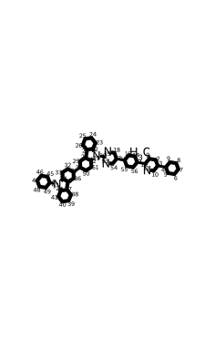 Cc1cc(-c2ccccc2)cnc1-c1ccc(-c2cnc(-n3c4ccccc4c4cc(-c5ccc6c(c5)c5ccccc5n6-c5ccccc5)ccc43)nc2)cc1